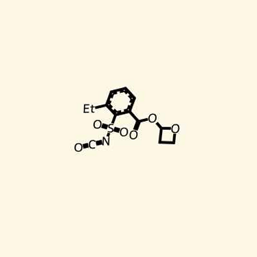 CCc1cccc(C(=O)OC2CCO2)c1S(=O)(=O)N=C=O